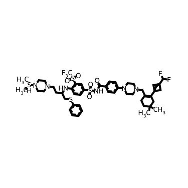 C[SH](C)N1CCN(CCC(CSc2ccccc2)Nc2ccc(S(=O)(=O)NC(=O)c3ccc(N4CCN(CC5=C(C67CC(C(F)F)(C6)C7)CC(C)(C)CC5)CC4)cc3)cc2S(=O)(=O)C(F)(F)F)CC1